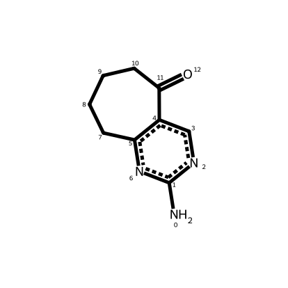 Nc1ncc2c(n1)CCCCC2=O